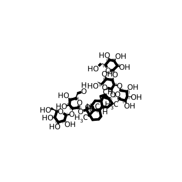 C=C1C[C@]23CC[C@H]4C(C)(C(=O)O[C@@H]5O[C@H](CO)[C@@H](O)[C@H](O)[C@H]5O[C@@H]5O[C@H](CO)[C@@H](O)[C@H](O)[C@H]5O)CCC[C@]4(C)[C@H]2CC[C@]1(O[C@@H]1O[C@H](CO)[C@@H](O)[C@H](O[C@@H]2O[C@H](CO)[C@@H](O)[C@H](O)[C@H]2O)[C@H]1O[C@@H]1O[C@@H](C)[C@H](O)[C@@H](O)[C@H]1O)C3